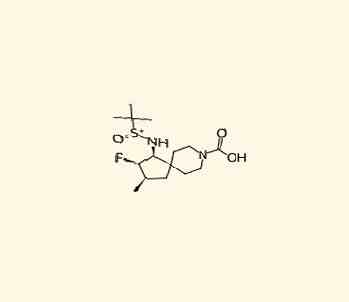 C[C@@H]1CC2(CCN(C(=O)O)CC2)[C@H](N[S@+]([O-])C(C)(C)C)[C@@H]1F